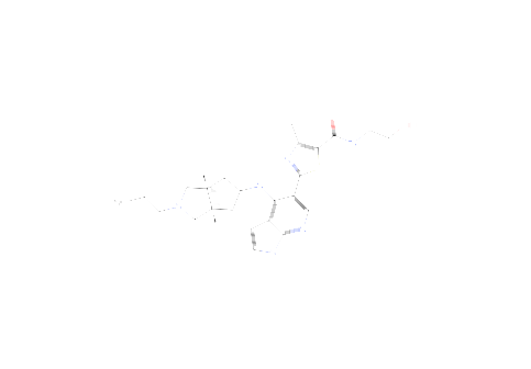 Cc1nc(-c2cnc3[nH]ccc3c2NC2C[C@@H]3CN(CCC#N)C[C@@H]3C2)sc1C(=O)NCCO